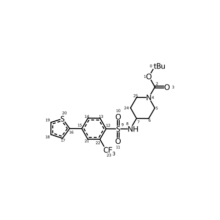 CC(C)(C)OC(=O)N1CCC(NS(=O)(=O)c2ccc(-c3cccs3)cc2C(F)(F)F)CC1